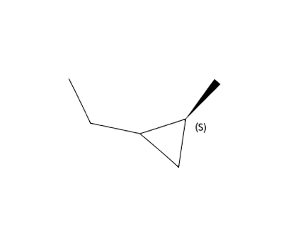 CCC1C[C@@H]1C